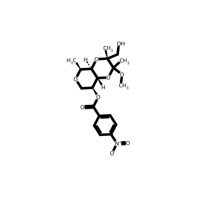 COC1(C)O[C@H]2[C@H](O[C@]1(C)CO)[C@H](C)OC[C@@H]2OC(=O)c1ccc([N+](=O)[O-])cc1